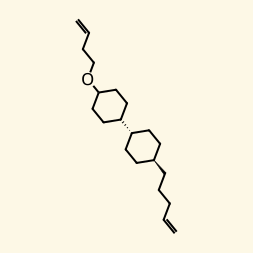 C=CCCC[C@H]1CC[C@H](C2CCC(OCCC=C)CC2)CC1